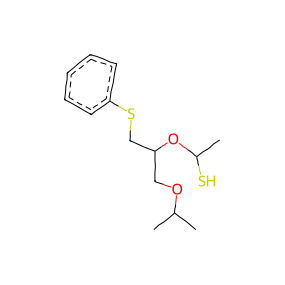 CC(C)OCC(CSc1ccccc1)OC(C)S